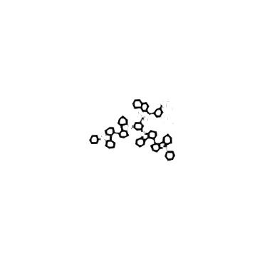 FC(F)(F)c1cc(-c2nc(-c3cc(-n4c5ccccc5c5c(-c6cccc7c6c6ccccc6n7-c6ccccc6)cccc54)cc(-n4c5ccccc5c5c(-c6cccc7c6c6ccccc6n7-c6ccccc6)cccc54)c3)nc3c2ccc2ccccc23)cc(C(F)(F)F)c1